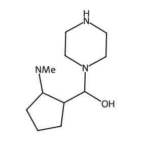 CNC1CCCC1C(O)N1CCNCC1